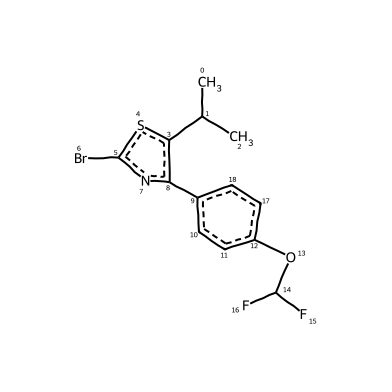 CC(C)c1sc(Br)nc1-c1ccc(OC(F)F)cc1